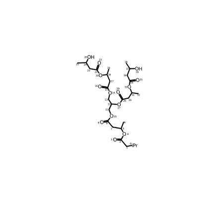 CC(C)CC(=O)OC(C)CC(=O)OCC(COC(=O)CC(C)OC(=O)CC(C)O)OC(=O)CC(C)OC(=O)CC(C)O